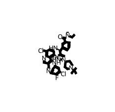 CCN(C)C(=O)c1cccc([C@H](Nc2cc(Cl)c3ncc(C#N)c(Nc4ccc(F)c(Cl)c4)c3c2)C2=CN(C3CCN(C(C)(C)C)CC3)NN2)c1